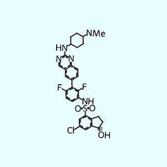 CNC1CCC(Nc2ncc3cc(-c4c(F)ccc(NS(=O)(=O)c5cc(Cl)cc6c5CC[C@H]6O)c4F)ccc3n2)CC1